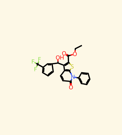 CCOC(=O)c1sc2c(ccc(=O)n2-c2ccccc2)c1C(O)c1cccc(C(F)(F)F)c1